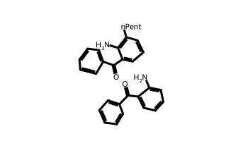 CCCCCc1cccc(C(=O)c2ccccc2)c1N.Nc1ccccc1C(=O)c1ccccc1